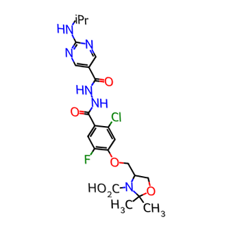 CC(C)Nc1ncc(C(=O)NNC(=O)c2cc(F)c(OCC3COC(C)(C)N3C(=O)O)cc2Cl)cn1